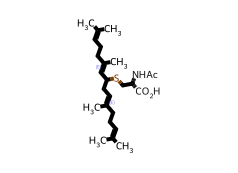 CC(=O)NC(CSC(/C=C(\C)CCC=C(C)C)C/C=C(\C)CCC=C(C)C)C(=O)O